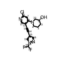 O[C@H]1CCCN(c2cc(Cl)ncc2C#Cc2cnn(C(F)F)c2)C1